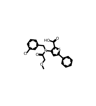 COCC(=O)N(Cc1cccc(Cl)c1)c1cc(-c2ccccc2)sc1C(=O)O